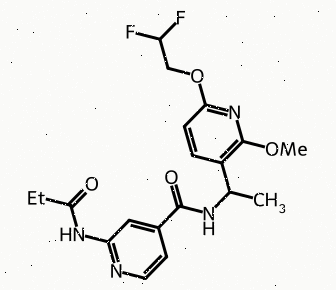 CCC(=O)Nc1cc(C(=O)NC(C)c2ccc(OCC(F)F)nc2OC)ccn1